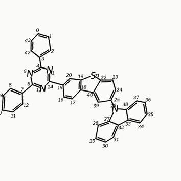 c1ccc(-c2nc(-c3ccccc3)nc(-c3ccc4c(c3)sc3ccc(-n5c6ccccc6c6ccccc65)cc34)n2)cc1